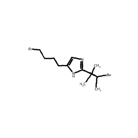 CCC(C)C(C)C(C)(C)c1ncc(CCCCC(C)C)[nH]1